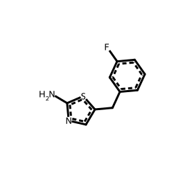 Nc1ncc(Cc2cccc(F)c2)s1